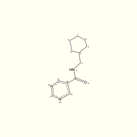 O=C(NCC1CCCCC1)c1cncnc1